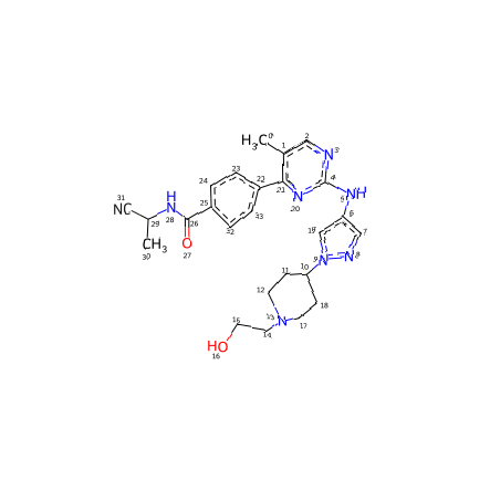 Cc1cnc(Nc2cnn(C3CCN(CCO)CC3)c2)nc1-c1ccc(C(=O)NC(C)C#N)cc1